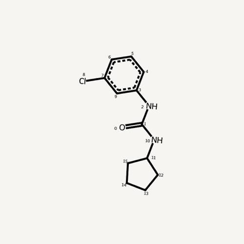 O=C(Nc1cccc(Cl)c1)NC1CCCC1